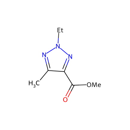 CCn1nc(C)c(C(=O)OC)n1